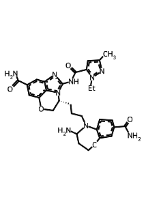 CCn1nc(C)cc1C(=O)Nc1nc2cc(C(N)=O)cc3c2n1[C@H](CCCN1c2ccc(C(N)=O)cc2CCCC1N)CO3